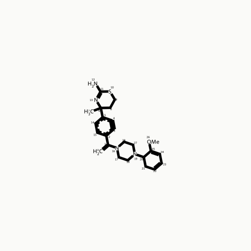 C=C(c1c#cc(C2(C)CCSC(N)=N2)cc1)N1CCN(C2CC=CC=C2OC)CC1